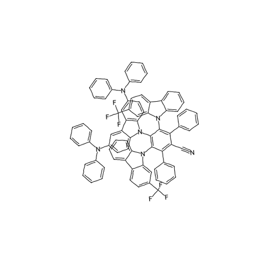 N#Cc1c(-c2ccccc2)c(-n2c3ccccc3c3ccc(C(F)(F)F)cc32)c(-n2c3ccc(N(c4ccccc4)c4ccccc4)cc3c3cc(N(c4ccccc4)c4ccccc4)ccc32)c(-n2c3ccccc3c3ccc(C(F)(F)F)cc32)c1-c1ccccc1